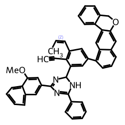 C#Cc1c(/C=C\C)cc(-c2cccc3cc4c(cc23)-c2ccccc2CO4)cc1C1N=C(c2cc(OC)c3ccccc3c2)N=C(c2ccccc2)N1